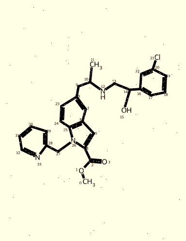 COC(=O)c1cc2cc(CC(C)NCC(O)c3cccc(Cl)c3)ccc2n1Cc1ccccn1